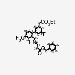 CCOC(=O)Cc1cc(F)cc(-c2ccc(C(F)(F)F)cc2CNCCC(=O)OCc2ccccc2)c1